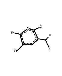 Fc1nc(Cl)c(C(F)F)cc1Cl